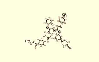 CC(=O)N1CCN(c2ccc(CN(C(=O)C=Cc3ccc(C(F)(F)F)cc3)[C@@H](Cc3ccccc3)C(=O)N3CCN(Cc4ccc(N(C)CCO)cc4)CC3)cc2)CC1